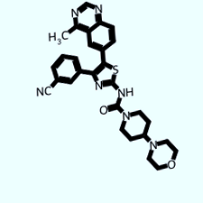 Cc1ncnc2ccc(-c3sc(NC(=O)N4CCC(N5CCOCC5)CC4)nc3-c3cccc(C#N)c3)cc12